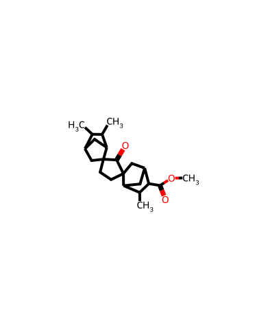 COC(=O)C1C2CC(C1C)C1(CCC3(CC4CC3C(C)C4C)C1=O)C2